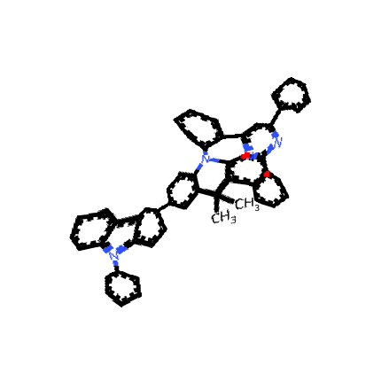 CC1(C)c2ccccc2N(c2ccccc2-c2cc(-c3ccccc3)nc(-c3ccccc3)n2)c2ccc(-c3ccc4c(c3)c3ccccc3n4-c3ccccc3)cc21